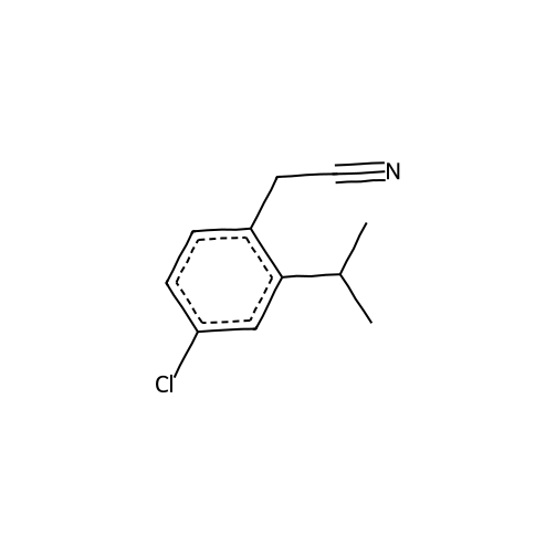 CC(C)c1cc(Cl)ccc1CC#N